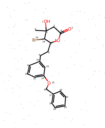 CC1(O)CC(=O)OC(CCc2cccc(OCc3ccccc3)c2)C1Br